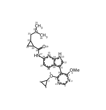 COc1ncnc(OC2CC2)c1-c1c[nH]c2nc(NC(=O)C3CC3CN(C)C)ccc12